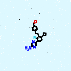 Nc1cnc(-c2ccc(C3CCC3)c(CCc3ccc(C=O)cc3)c2F)cn1